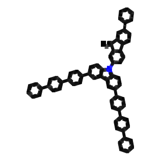 c1ccc(-c2ccc(-c3ccc(-c4ccc5c(c4)c4cc(-c6ccc(-c7ccc(-c8ccccc8)cc7)cc6)ccc4n5-c4ccc5c(c4)[SiH2]c4cc(-c6ccccc6)ccc4-5)cc3)cc2)cc1